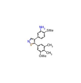 COc1cc(-c2sncc2-c2ccc(SC)c(N)c2)cc(C)c1C